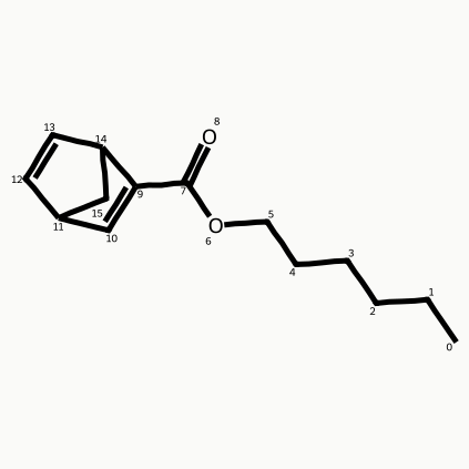 CCCCCCOC(=O)C1=CC2C=CC1C2